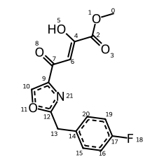 COC(=O)/C(O)=C/C(=O)c1coc(Cc2ccc(F)cc2)n1